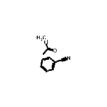 CC(=O)Cl.N#Cc1ccccc1.O